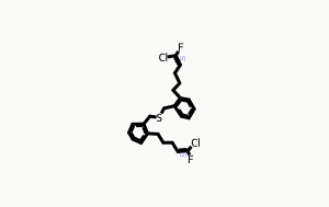 F/C(Cl)=C/CCCc1ccccc1CSCc1ccccc1CCC/C=C(/F)Cl